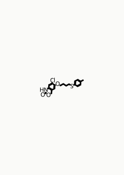 Cc1ccc(SCCCCOc2cc3c(cc2Cl)NC(=O)OC3)cc1